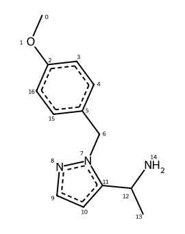 COc1ccc(Cn2nccc2C(C)N)cc1